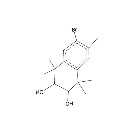 Cc1cc2c(cc1Br)C(C)(C)C(O)C(O)C2(C)C